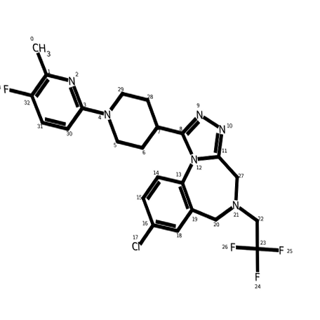 Cc1nc(N2CCC(c3nnc4n3-c3ccc(Cl)cc3CN(CC(F)(F)F)C4)CC2)ccc1F